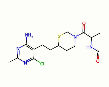 Cc1nc(N)c(CCC2CCN(C(=O)C(C)NC=O)CS2)c(Cl)n1